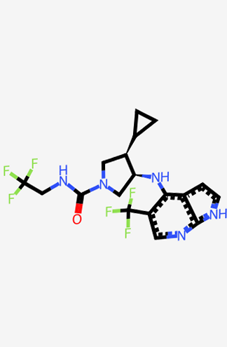 O=C(NCC(F)(F)F)N1C[C@H](Nc2c(C(F)(F)F)cnc3[nH]ccc23)[C@H](C2CC2)C1